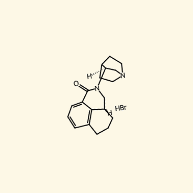 Br.O=C1c2cccc3c2[C@@H](CCC3)CN1[C@@H]1CN2CCC1CC2